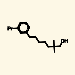 CC(C)c1cccc(/C=C/CCCC(C)(C)CO)c1